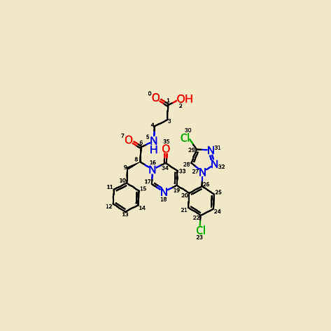 O=C(O)CCNC(=O)[C@H](Cc1ccccc1)n1cnc(-c2cc(Cl)ccc2-n2cc(Cl)nn2)cc1=O